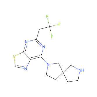 FC(F)(F)Cc1nc(N2CCC3(CCNC3)C2)c2ncsc2n1